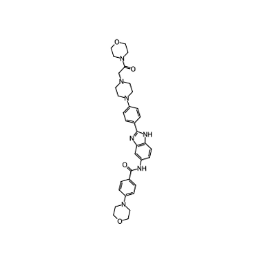 O=C(Nc1ccc2[nH]c(-c3ccc(N4CCN(CC(=O)N5CCOCC5)CC4)cc3)nc2c1)c1ccc(N2CCOCC2)cc1